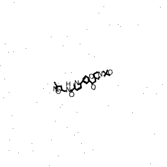 CC1=NOC(CNC(=O)c2ccc(-c3ccc4c(c3)C(=O)CC3(CCN(CC5(C)COC5)CC3)O4)nc2)C1